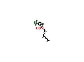 CC(C)=CCCC(C)=CCCC(C)=CCOB(O)c1cc(C(F)(F)F)ccc1F